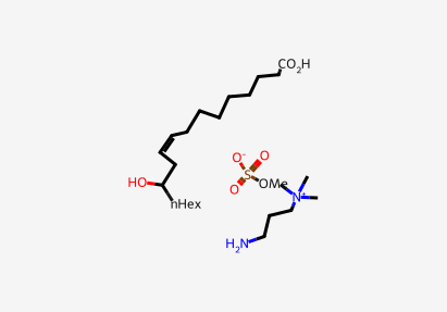 CCCCCCC(O)C/C=C\CCCCCCCC(=O)O.COS(=O)(=O)[O-].C[N+](C)(C)CCCN